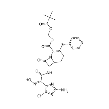 CC(C)(C)C(=O)OCOC(=O)C1=C(Sc2ccncc2)CCC2[C@H](NC(=O)/C(=N\O)c3nc(N)sc3Cl)C(=O)N12